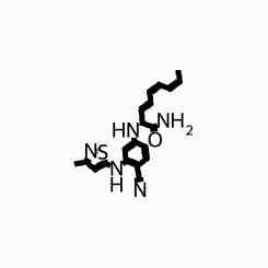 C\C=C/C=C\C=C\[C@@H](Nc1ccc(C#N)c(Nc2cc(C)ns2)c1)C(N)=O